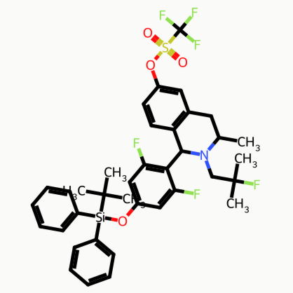 CC1Cc2cc(OS(=O)(=O)C(F)(F)F)ccc2C(c2c(F)cc(O[Si](c3ccccc3)(c3ccccc3)C(C)(C)C)cc2F)N1CC(C)(C)F